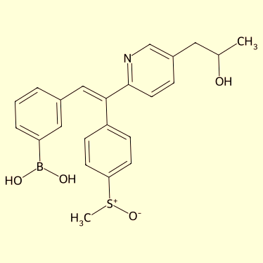 CC(O)Cc1ccc(C(=Cc2cccc(B(O)O)c2)c2ccc([S+](C)[O-])cc2)nc1